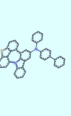 c1ccc(-c2ccc(N(c3ccccc3)c3cc4c5cccc6sc7cccc(c7c65)n5c6ccccc6c(c3)c45)cc2)cc1